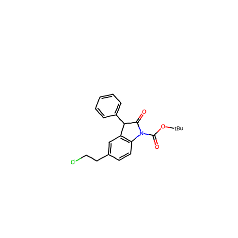 CC(C)(C)OC(=O)N1C(=O)C(c2ccccc2)c2cc(CCCl)ccc21